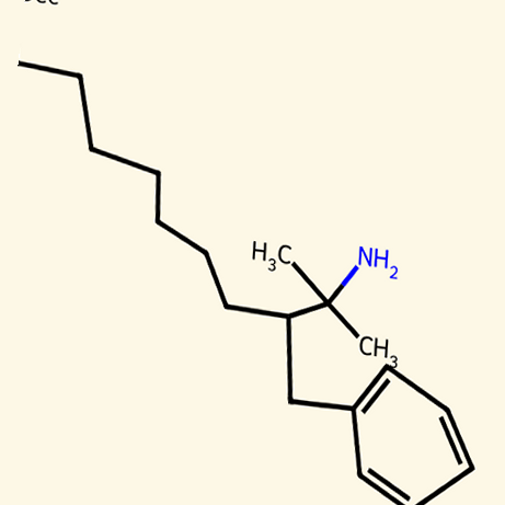 CCCCCCCCCCCCCCCCCC(Cc1ccccc1)C(C)(C)N